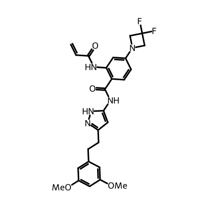 C=CC(=O)Nc1cc(N2CC(F)(F)C2)ccc1C(=O)Nc1cc(CCc2cc(OC)cc(OC)c2)n[nH]1